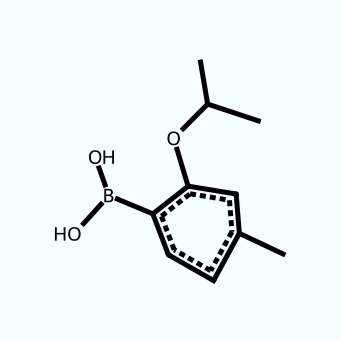 Cc1ccc(B(O)O)c(OC(C)C)c1